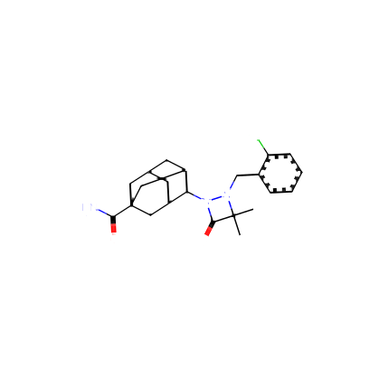 CC1(C)C(=O)N(C2C3CC4CC2CC(C(N)=O)(C4)C3)N1Cc1ccccc1Cl